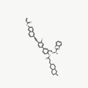 C=CC(=O)Oc1ccc2cc(C#Cc3ccc(-c4ccc(OC(=O)CCC5CCC6CC(C)CCC6C5)c(/C=N/N(C)c5nc6ccccc6s5)c4)cc3F)ccc2c1